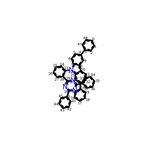 c1ccc(-c2ccc3c(c2)c2ccc(-c4ccccc4)cc2n3-c2ccccc2-c2nc(-c3ccccc3)nc(-c3ccccc3)n2)cc1